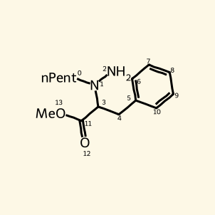 CCCCCN(N)C(Cc1ccccc1)C(=O)OC